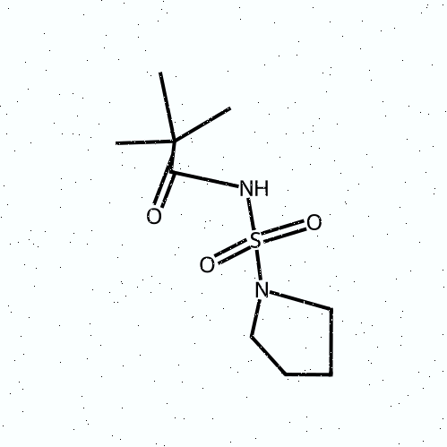 CC(C)(C)C(=O)NS(=O)(=O)N1CCCC1